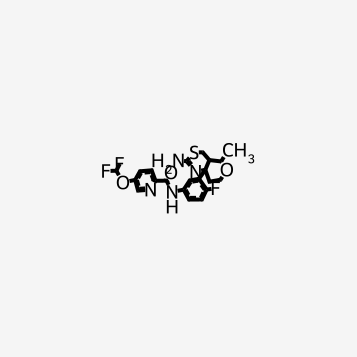 CC1OCCC2(c3cc(NC(=O)c4ccc(OC(F)F)cn4)ccc3F)N=C(N)SCC12